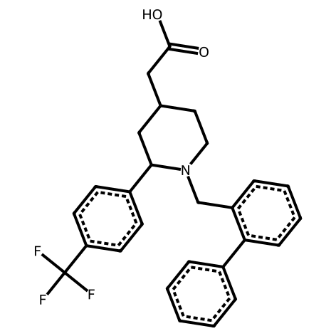 O=C(O)CC1CCN(Cc2ccccc2-c2ccccc2)C(c2ccc(C(F)(F)F)cc2)C1